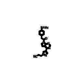 CC(=O)Nc1ccc(CC(=O)n2ccc3c(-c4cnn(CCC#N)c4)ncnc32)cc1